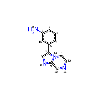 Nc1cccc(-c2cnc3cnccn23)c1